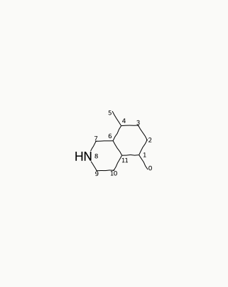 CC1CCC(C)C2CNCCC12